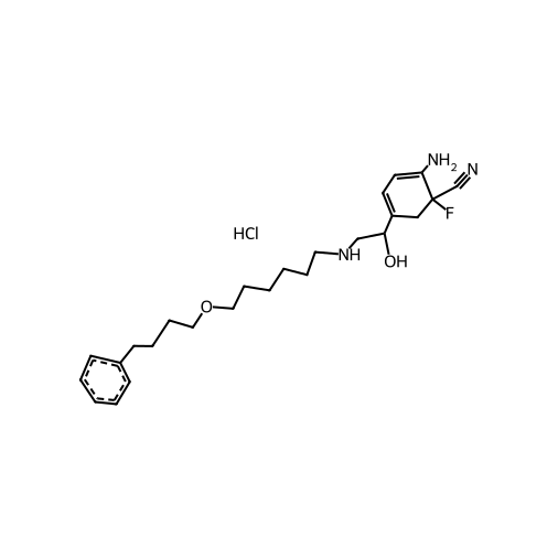 Cl.N#CC1(F)CC(C(O)CNCCCCCCOCCCCc2ccccc2)=CC=C1N